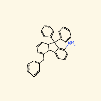 Nc1cccc2c1C(c1ccccc1)(c1ccccc1)C1C=CC=C(Cc3ccccc3)C21